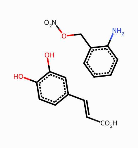 Nc1ccccc1CO[N+](=O)[O-].O=C(O)C=Cc1ccc(O)c(O)c1